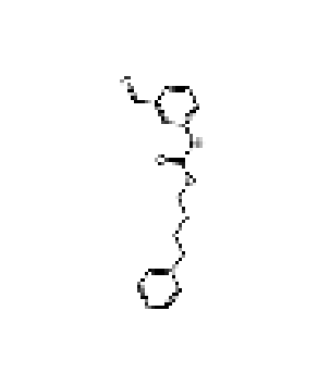 O=Cc1cccc(NC(=O)OCCCCc2ccccc2)c1